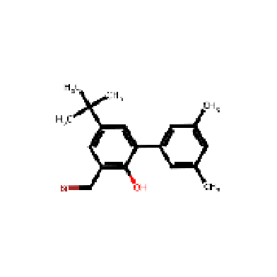 Cc1cc(C)cc(-c2cc(C(C)(C)C)cc(CBr)c2O)c1